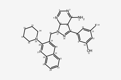 NC1=NC=NC2C1C(c1cc(O)cc(F)c1)=NN2Cc1cc2ccccc2nc1N1CCCCC1